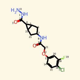 NNC(=O)C1C2CC(NC(=O)COc3ccc(Cl)c(F)c3)CC21